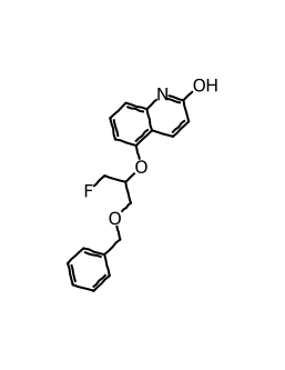 Oc1ccc2c(OC(CF)COCc3ccccc3)cccc2n1